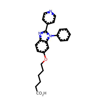 O=C(O)CCCCCOc1ccc2nc(-c3ccncc3)n(-c3ccccc3)c2c1